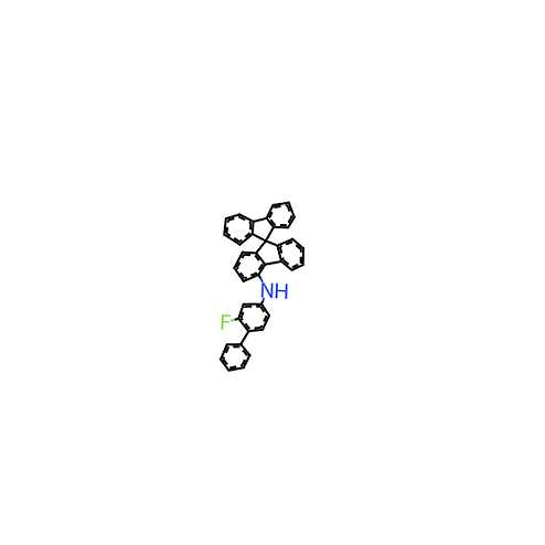 Fc1cc(Nc2cccc3c2-c2ccccc2C32c3ccccc3-c3ccccc32)ccc1-c1ccccc1